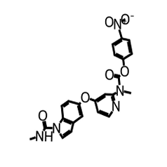 CNC(=O)n1ccc2cc(Oc3ccnc(N(C)C(=O)Oc4ccc([N+](=O)[O-])cc4)c3)ccc21